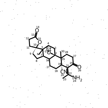 CCO[C@]12CCC3(C)C(CC[C@@]34CCC(=O)O4)C1CC[C@]1(C#N)/C(=C(\C)N)C(=O)CCC12C